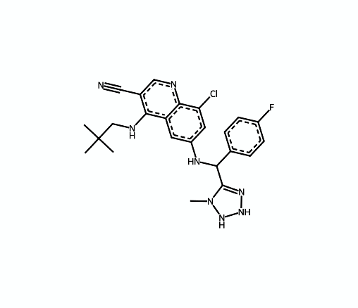 CN1NNN=C1C(Nc1cc(Cl)c2ncc(C#N)c(NCC(C)(C)C)c2c1)c1ccc(F)cc1